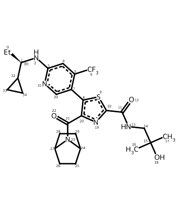 CC[C@@H](Nc1cc(C(F)(F)F)c(-c2sc(C(=O)NCC(C)(C)O)nc2C(=O)N2C3CCC2CC3)cn1)C1CC1